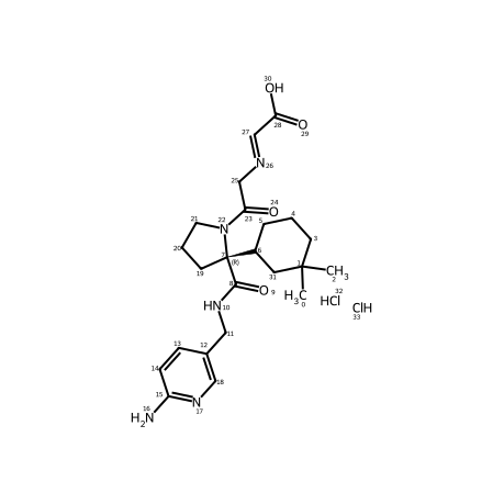 CC1(C)CCCC([C@@]2(C(=O)NCc3ccc(N)nc3)CCCN2C(=O)CN=CC(=O)O)C1.Cl.Cl